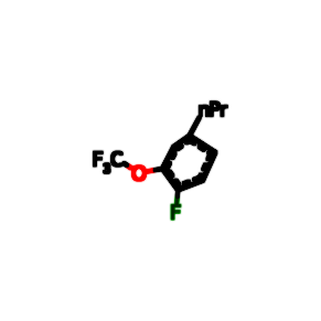 CCCc1ccc(F)c(OC(F)(F)F)c1